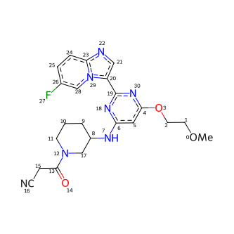 COCCOc1cc(NC2CCCN(C(=O)CC#N)C2)nc(-c2cnc3ccc(F)cn23)n1